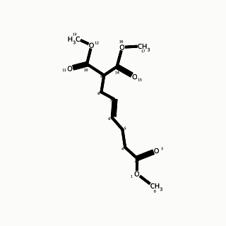 COC(=O)CCC=CCC(C(=O)OC)C(=O)OC